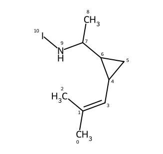 CC(C)=CC1CC1C(C)NI